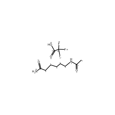 CC(=O)NCCCCCC(N)=O.O=C(O)C(F)(F)F